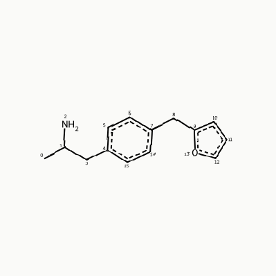 CC(N)Cc1ccc(Cc2ccco2)cc1